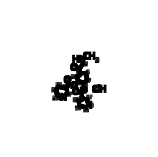 CNCC(=O)c1ccc(OC(=O)c2cccnc2)c(OC(=O)c2cccnc2)c1.Cl